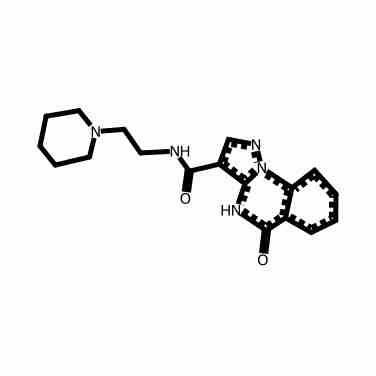 O=C(NCCN1CCCCC1)c1cnn2c1[nH]c(=O)c1ccccc12